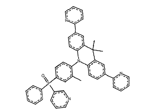 Cc1cc(P(=O)(c2ccccc2)c2cccnc2)ccc1N1c2ccc(-c3ccccn3)cc2C(C)(C)c2cc(-c3ccccn3)ccc21